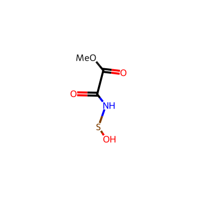 COC(=O)C(=O)NSO